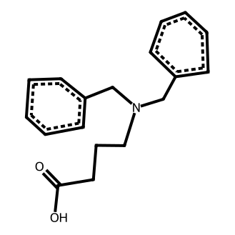 O=C(O)CCCN(Cc1ccccc1)Cc1ccccc1